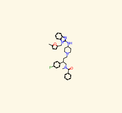 Cc1ccc(Cn2c(NC3CCN(CCC(CN(C)C(=O)c4ccccc4)c4ccc(F)cc4)CC3)nc3ccccc32)o1